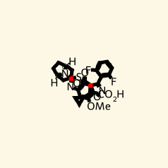 COc1cc2nc(N3[C@@H]4CC[C@H]3C[C@H](OC(=O)c3c(-c5c(F)cccc5F)noc3C3CC3)C4)sc2cc1C(=O)O